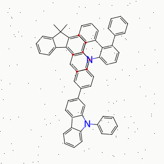 CC1(C)c2ccccc2-c2cc(N(c3ccc(-c4ccc5c6ccccc6n(-c6ccccc6)c5c4)cc3)c3cccc(-c4ccccc4)c3-c3ccccc3-c3ccccc3)ccc21